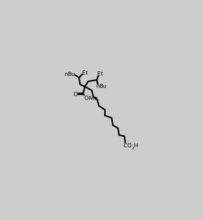 CCCCC(CC)CC(CCCCCCCCCCCC(=O)O)(CC(CC)CCCC)C(=O)OC